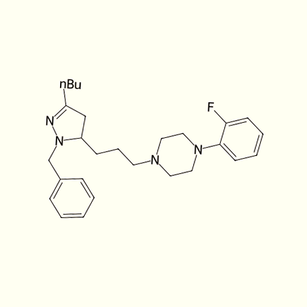 CCCCC1=NN(Cc2ccccc2)C(CCCN2CCN(c3ccccc3F)CC2)C1